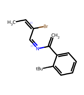 C=C(/N=C\C(Br)=C/C)c1ccccc1C(C)(C)C